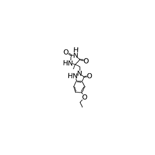 CCOc1ccc2[nH]n(CC3(C)NC(=O)NC3=O)c(=O)c2c1